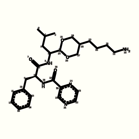 CC(C)CC(NC(=O)[C@H](Cc1ccccc1)NC(=O)c1cnccn1)B1OCC(CCCCN)CO1